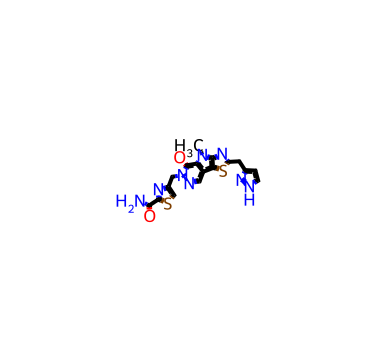 Cn1c2nc(Cc3cc[nH]n3)sc2c2cnn(Cc3csc(C(N)=O)n3)c(=O)c21